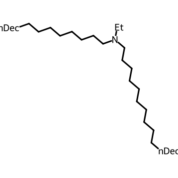 CCCCCCCCCCCCCCCCCCCCN(CC)CCCCCCCCCCCCCCCCCC